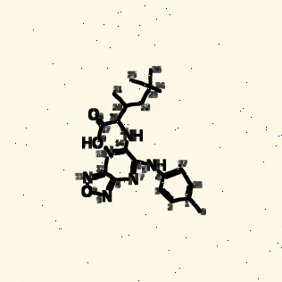 Cc1ccc(Nc2nc3nonc3nc2NC(C(=O)O)C(C)CC(C)(C)C)cc1